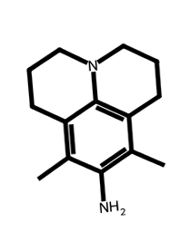 Cc1c(N)c(C)c2c3c1CCCN3CCC2